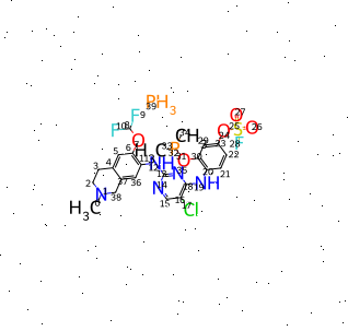 CN1CCc2cc(OC(F)F)c(Nc3ncc(Cl)c(Nc4ccc(OS(=O)(=O)F)cc4OP(C)C)n3)cc2C1.P